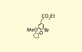 CCOC(=O)CCc1cc(Br)c(OC2CCCC2)c(OC)c1